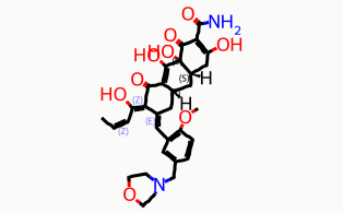 C\C=C/C(O)=C1/C(=O)C2=C(O)[C@]3(O)C(=O)C(C(N)=O)=C(O)C[C@@H]3C[C@@H]2C/C1=C\c1cc(CN2CCOCC2)ccc1OC